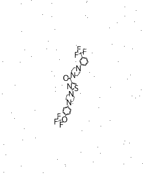 O=C(c1csc(N2CCN(c3ccc(OC(F)(F)F)cc3)CC2)n1)N1CCN(c2cccc(C(F)(F)F)c2)CC1